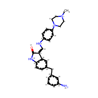 CN1CCN(c2ccc(NC=C3C(=O)Nc4ccc(Cc5cccc(N)c5)cc43)cc2)CC1